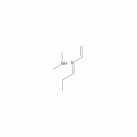 CNC.[CH]=CN=CCC